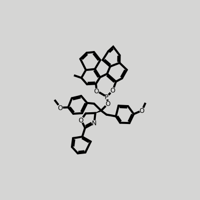 COc1ccc(CC(Cc2ccc(OC)cc2)(Op2oc3c(c4c(ccc5ccccc54)o2)=C2C=CC=CC2C(C)C=3)[C@@H]2COC(c3ccccc3)=N2)cc1